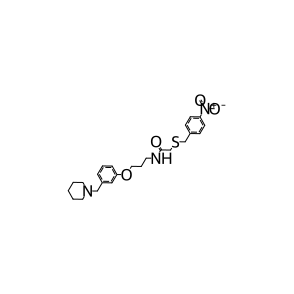 O=C(CSCc1ccc([N+](=O)[O-])cc1)NCCCOc1cccc(CN2CCCCC2)c1